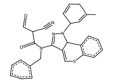 CC1=CC(N2N=C(N(Cc3ccccc3)C(=O)C(C#N)C=O)C3=CSc4ccccc4C32)C=CC1